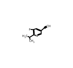 C#Cc1cnc(C(C)C)c(F)c1